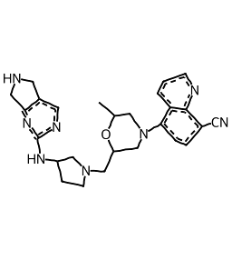 CC1CN(c2ccc(C#N)c3ncccc23)CC(CN2CCC(Nc3ncc4c(n3)CNC4)C2)O1